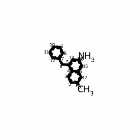 Cc1ccc2c(Cc3ccccc3)cccc2c1.N